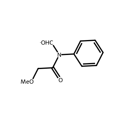 COCC(=O)N([C]=O)c1ccccc1